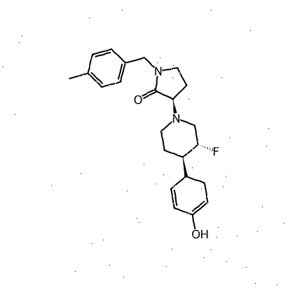 Cc1ccc(CN2CC[C@@H](N3CC[C@H](C4C=CC(O)=CC4)[C@@H](F)C3)C2=O)cc1